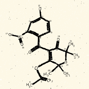 CC(=O)OC1=C(C(=O)c2ccc(Cl)cc2[N+](=O)[O-])C(=O)C(C)(C)OC1(C)C